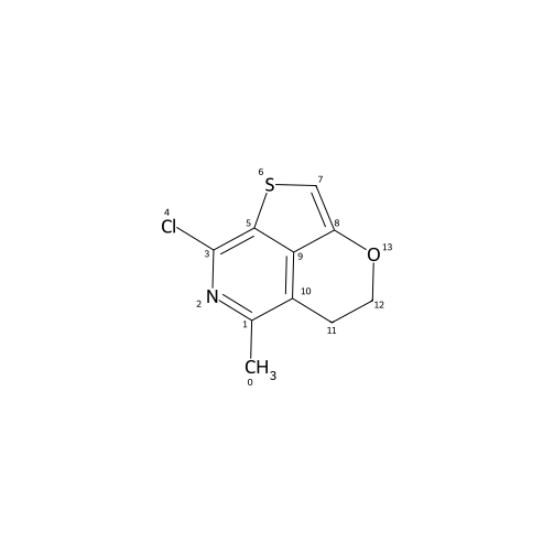 Cc1nc(Cl)c2scc3c2c1CCO3